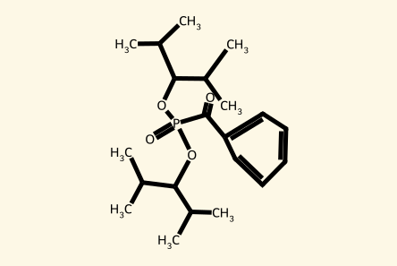 CC(C)C(OP(=O)(OC(C(C)C)C(C)C)C(=O)c1ccccc1)C(C)C